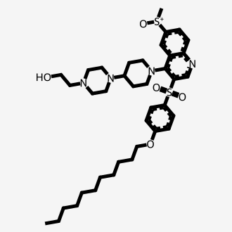 CCCCCCCCCCCOc1ccc(S(=O)(=O)c2cnc3ccc([S+](C)[O-])cc3c2N2CCC(N3CCN(CCO)CC3)CC2)cc1